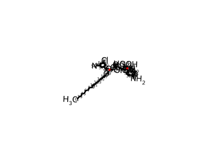 CCCCCCCCCCCCCCCCCCOC[C@H](COP(=O)(O)OC[C@H]1O[C@@](C#N)(c2ccc3c(N)ncnn23)[C@H](O)[C@@H]1O)OCc1cc(Cl)cc(C#N)c1